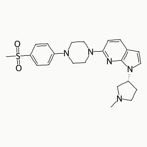 CN1CC[C@@H](n2ccc3ccc(N4CCN(c5ccc(S(C)(=O)=O)cc5)CC4)nc32)C1